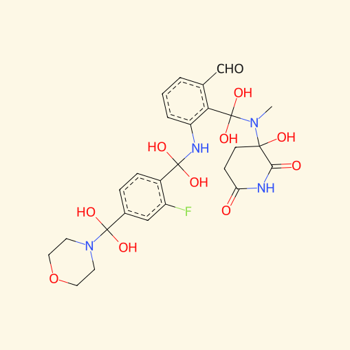 CN(C1(O)CCC(=O)NC1=O)C(O)(O)c1c(C=O)cccc1NC(O)(O)c1ccc(C(O)(O)N2CCOCC2)cc1F